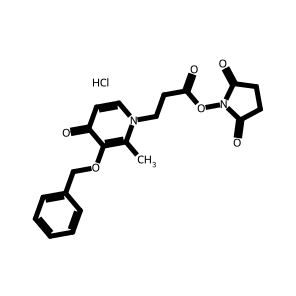 Cc1c(OCc2ccccc2)c(=O)ccn1CCC(=O)ON1C(=O)CCC1=O.Cl